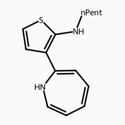 CCCCCNc1sccc1C1=CC=CC=CN1